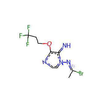 C/C(Br)=N\n1ccnc(OCCC(F)(F)F)c1=N